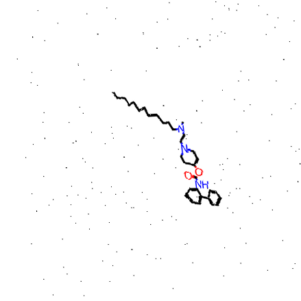 CCCCCCCCCCCCN(C)CCN1CCC(OC(=O)Nc2ccccc2-c2ccccc2)CC1